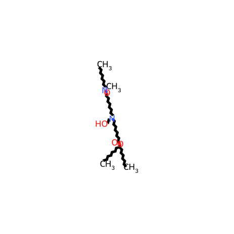 CCCCCCCC/C(C)=N/OCCCCCCCCN(CCO)CCCCCCCC(=O)OC(CCCCCCC)CCCCCCCC